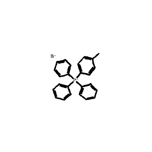 Cc1ccc([P+](c2ccccc2)(c2ccccc2)c2ccccc2)cc1.[Br-]